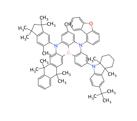 Cc1cc2c3c(c1)N(c1cccc4oc5ccccc5c14)c1cc(N4c5ccc(C(C)(C)C)cc5C5(C)CCCCC45C)ccc1B3c1cc3c(cc1N2c1cc2c(cc1C)C(C)(C)CC2(C)C)C(C)(C)c1ccccc1C3(C)C